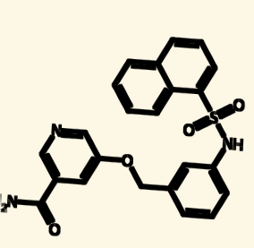 NC(=O)c1cncc(OCc2cccc(NS(=O)(=O)c3cccc4ccccc34)c2)c1